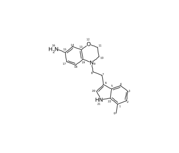 Cc1cccc2c(CCN3CCOc4cc(N)ccc43)c[nH]c12